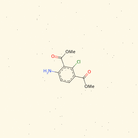 COC(=O)c1ccc(N)c(C(=O)OC)c1Cl